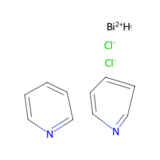 [BiH+2].[Cl-].[Cl-].c1ccncc1.c1ccncc1